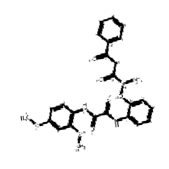 COc1ccc(NC(=O)C(=O)Nc2ccccc2ON(N)C(=O)CC(=O)c2ccccc2)c(OC)c1